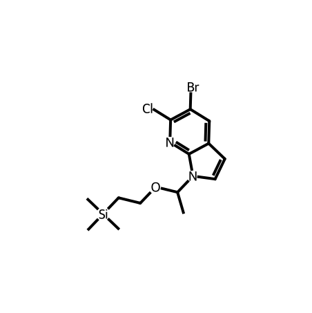 CC(OCC[Si](C)(C)C)n1ccc2cc(Br)c(Cl)nc21